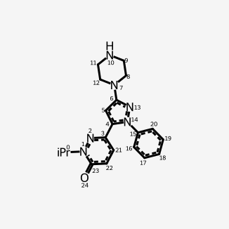 CC(C)n1nc(-c2cc(N3CCNCC3)nn2-c2ccccc2)ccc1=O